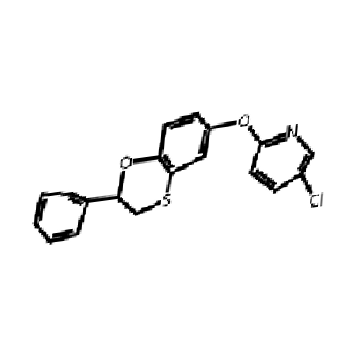 Clc1ccc(Oc2ccc3c(c2)SCC(c2ccccc2)O3)nc1